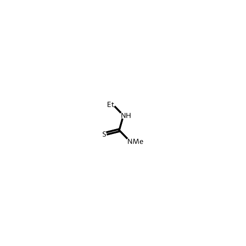 CCNC(=S)NC